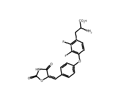 NC(Cc1ccc(Oc2ccc(C=C3OC(=O)NC3=O)cc2)c(F)c1F)C(=O)O